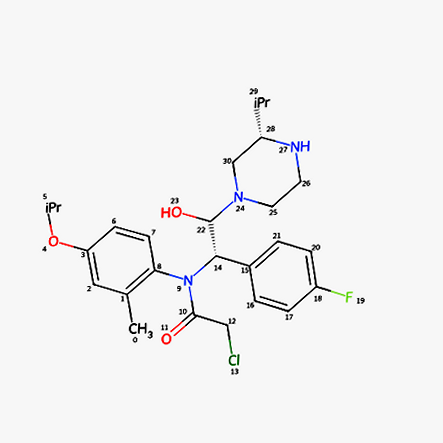 Cc1cc(OC(C)C)ccc1N(C(=O)CCl)[C@@H](c1ccc(F)cc1)C(O)N1CCN[C@@H](C(C)C)C1